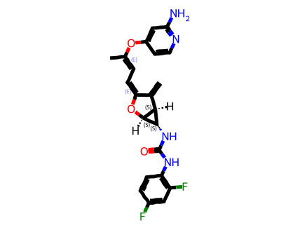 C=C1/C(=C\C=C(/C)Oc2ccnc(N)c2)O[C@@H]2[C@@H](NC(=O)Nc3ccc(F)cc3F)[C@H]12